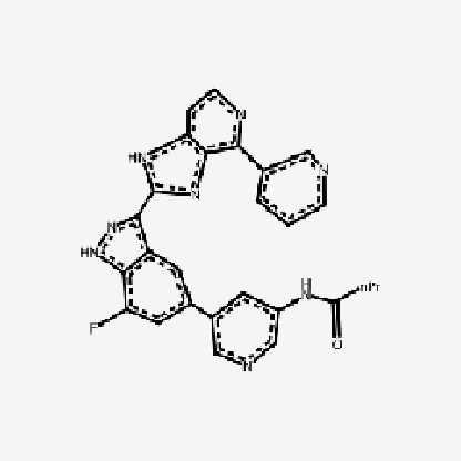 CCCC(=O)Nc1cncc(-c2cc(F)c3[nH]nc(-c4nc5c(-c6cccnc6)nccc5[nH]4)c3c2)c1